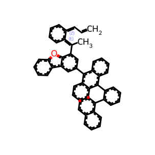 C=C/C=c1/cccc/c1=C(/C)c1cc(-c2c3ccccc3c(-c3ccccc3-c3cccc4ccccc34)c3ccccc23)cc2c1oc1ccccc12